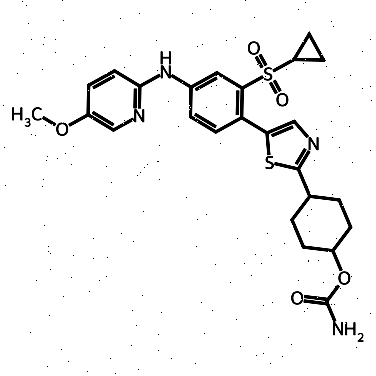 COc1ccc(Nc2ccc(-c3cnc(C4CCC(OC(N)=O)CC4)s3)c(S(=O)(=O)C3CC3)c2)nc1